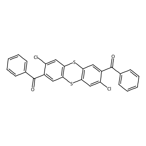 O=C(c1ccccc1)c1cc2c(cc1Cl)Sc1cc(C(=O)c3ccccc3)c(Cl)cc1S2